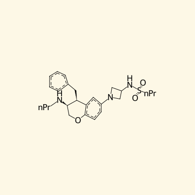 CCCN[C@@H]1COc2ccc(N3CC(NS(=O)(=O)CCC)C3)cc2[C@@H]1Cc1ccccc1